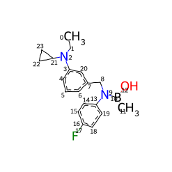 CCN(c1cccc(CN(B(C)O)c2ccc(F)cc2)c1)C1CC1